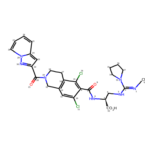 N#C/N=C(/NC[C@H](NC(=O)c1c(Cl)cc2c(c1Cl)CCN(C(=O)c1cc3ccccn3n1)C2)C(=O)O)N1CCCC1